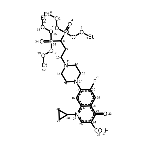 CCOOP(=O)(OOCC)C(CCN1CCN(c2cc3c(cc2F)c(=O)c(C(=O)O)cn3C2CC2)CC1)P(=O)(OOCC)OOCC